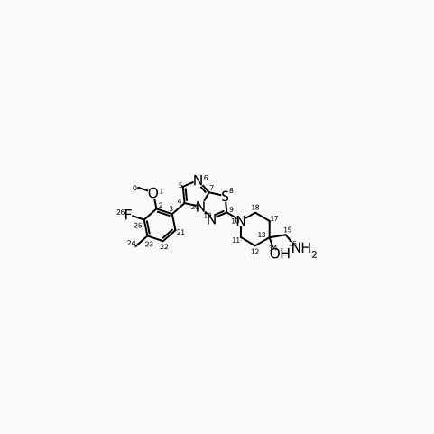 COc1c(-c2cnc3sc(N4CCC(O)(CN)CC4)nn23)ccc(C)c1F